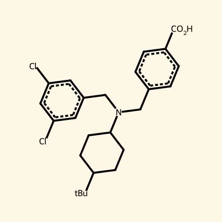 CC(C)(C)C1CCC(N(Cc2ccc(C(=O)O)cc2)Cc2cc(Cl)cc(Cl)c2)CC1